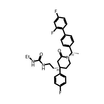 CCNC(=O)NCC[C@@]1(c2ccc(F)cc2)CCN([C@@H](C)c2ccc(-c3ccc(F)cc3F)cc2)C(=O)C1